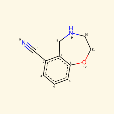 N#Cc1cccc2c1CNCCO2